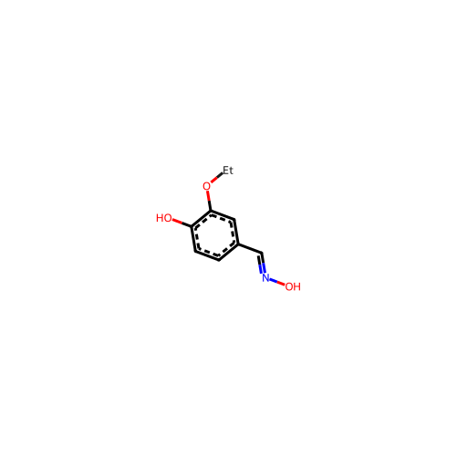 CCOc1cc(C=NO)ccc1O